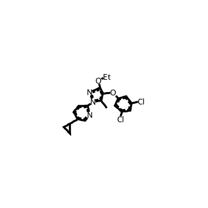 CCOc1nn(-c2ccc(C3CC3)cn2)c(C)c1Oc1cc(Cl)cc(Cl)c1